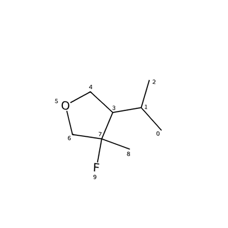 CC(C)C1COCC1(C)F